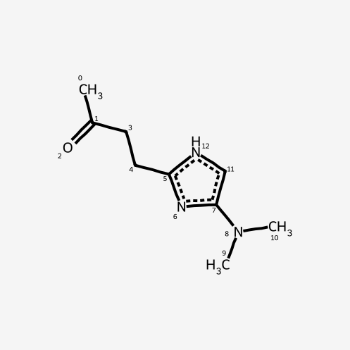 CC(=O)CCc1nc(N(C)C)c[nH]1